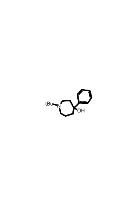 CC(C)(C)N1CCCC(O)(c2ccccc2)CC1